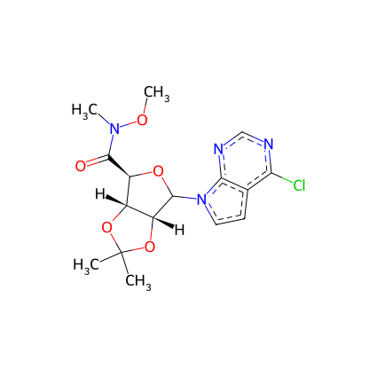 CON(C)C(=O)[C@H]1OC(n2ccc3c(Cl)ncnc32)[C@@H]2OC(C)(C)O[C@H]12